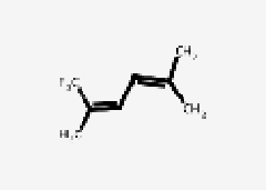 CC(C)=C/C=C(/C)C(F)(F)F